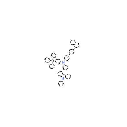 c1ccc(-n2c3ccccc3c3c(-c4cccc(N(c5ccc(-c6ccc(-c7cccc8ccccc78)cc6)cc5)c5ccc([Si](c6ccccc6)(c6ccccc6)c6ccccc6)cc5)c4)cccc32)cc1